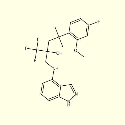 COc1cc(F)ccc1C(C)(C)CC(O)(CNc1cccc2[nH]ncc12)C(F)(F)F